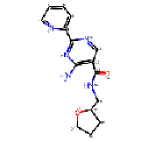 Nc1nc(-c2ccccn2)ncc1C(=O)NCC1CCCO1